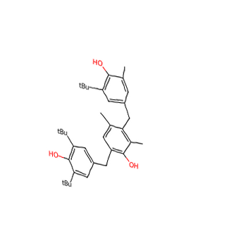 Cc1cc(Cc2c(C)cc(Cc3cc(C(C)(C)C)c(O)c(C(C)(C)C)c3)c(O)c2C)cc(C(C)(C)C)c1O